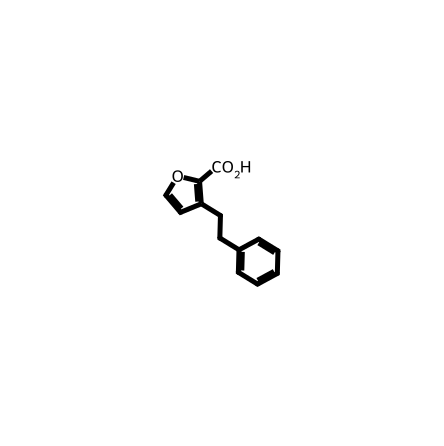 O=C(O)c1occc1CCc1ccccc1